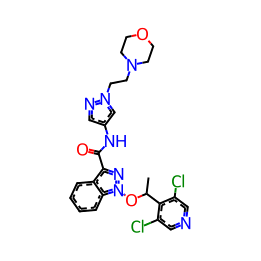 CC(On1nc(C(=O)Nc2cnn(CCN3CCOCC3)c2)c2ccccc21)c1c(Cl)cncc1Cl